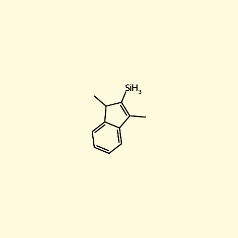 CC1=C([SiH3])C(C)c2ccccc21